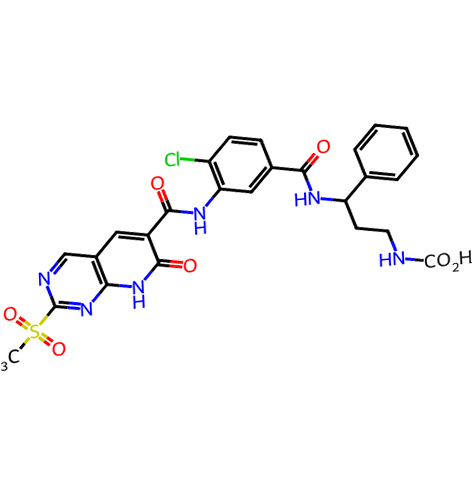 CS(=O)(=O)c1ncc2cc(C(=O)Nc3cc(C(=O)NC(CCNC(=O)O)c4ccccc4)ccc3Cl)c(=O)[nH]c2n1